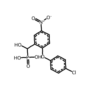 O=[N+]([O-])c1ccc(Oc2ccc(Cl)cc2)c(C(O)P(=O)(O)O)c1